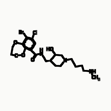 CNCCCCN1CC[C@@H](CNC(=O)c2cc(Cl)c(Br)c3c2OCCCO3)C(O)C1